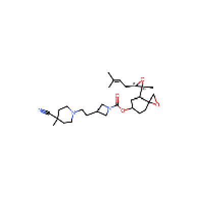 CC(C)=CC[C@H]1O[C@]1(C)C1CC(OC(=O)N2CC(CCN3CCC(C)(C#N)CC3)C2)CCC12CO2